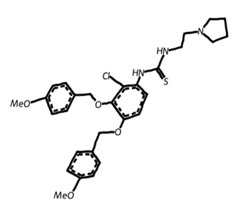 COc1ccc(COc2ccc(NC(=S)NCCN3CCCC3)c(Cl)c2OCc2ccc(OC)cc2)cc1